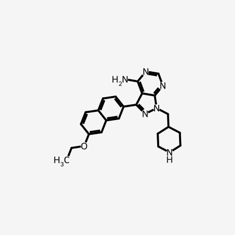 CCOc1ccc2ccc(-c3nn(CC4CCNCC4)c4ncnc(N)c34)cc2c1